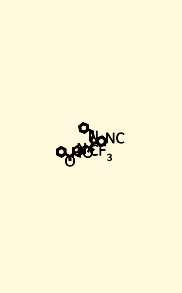 [C-]#[N+]c1ccc2c(C(O)(CN3CCC(C(=O)c4ccccc4)CC3)C(F)(F)F)cn(Cc3ccccc3)c2c1